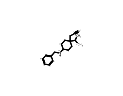 CC(C)C1(CC#N)CCC(NCc2ccccc2)CC1